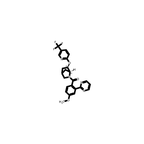 COc1ccc(C(=O)N2CC3C[C@@H](Oc4ccc(C(F)(F)F)cn4)[C@@H]2C3)c(-c2ncccn2)c1